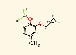 Cc1ccc(OC(F)F)c(OCC2CC2)c1